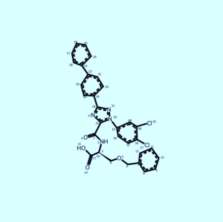 O=C(N[C@@H](COCc1ccccc1)C(=O)O)c1nc(-c2ccc(-c3ccccc3)cc2)nn1-c1ccc(Cl)c(Cl)c1